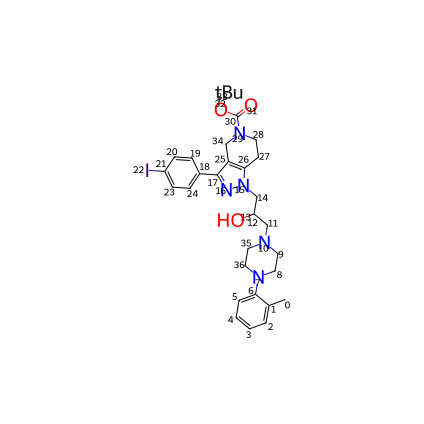 Cc1ccccc1N1CCN(CC(O)Cn2nc(-c3ccc(I)cc3)c3c2CCN(C(=O)OC(C)(C)C)C3)CC1